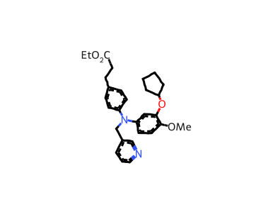 CCOC(=O)CCc1ccc(N(Cc2cccnc2)c2ccc(OC)c(OC3CCCC3)c2)cc1